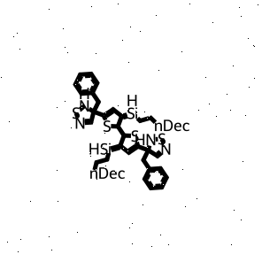 CCCCCCCCCCCC[SiH]=C1C=C(C2(Cc3ccccc3)C=NSN2)SC1C1SC(C2(Cc3ccccc3)C=NSN2)=CC1=[SiH]CCCCCCCCCCCC